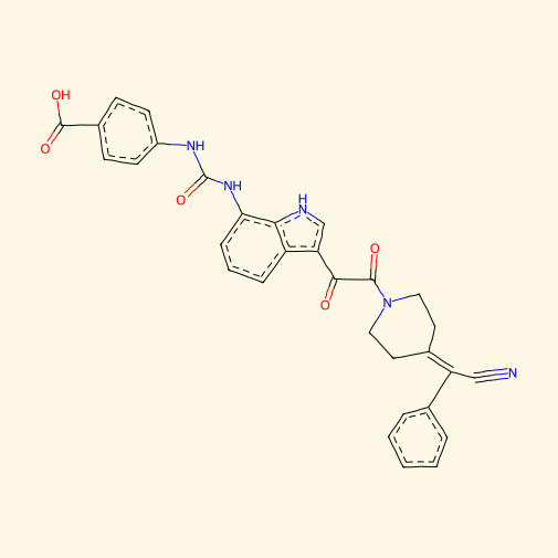 N#CC(=C1CCN(C(=O)C(=O)c2c[nH]c3c(NC(=O)Nc4ccc(C(=O)O)cc4)cccc23)CC1)c1ccccc1